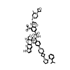 CC(C)c1ccccc1[C@@H]1CCCN1C1CC2(CCN(c3ccc(C(=O)NS(=O)(=O)c4cc5c(c([N+](=O)[O-])c4)N[C@H](CN4CCN(C6COC6)[C@H](C)C4)CO5)c(N4c5cc6cc[nH]c6nc5O[C@H]5COC[C@H]54)c3)CC2)C1